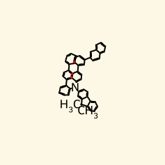 CC1(C)c2ccccc2-c2ccc(N(c3ccc(-c4cccc(-c5ccc6ccccc6c5)c4)cc3)c3ccccc3-c3ccc(-c4ccccc4)cc3)cc21